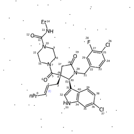 CCC/C=C/C[C@@]1(C(=O)N2CCN(C(=O)NCC)CC2)CC(=O)N(Cc2ccc(Cl)c(F)c2)[C@H]1c1c[nH]c2cc(Cl)ccc12